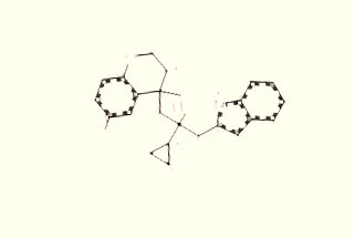 CC1(CC(O)(Cc2cc3ccccc3[nH]2)C2CC2)CCOc2ccc(F)cc21